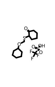 O=C1CCCCC1SCOC1CCCCC1.O=S(=O)(O)C(F)(F)F